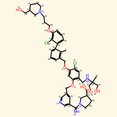 Cc1c(COc2cc(OCc3cncc(C(=N)N4CCCC(CO)C4)c3)c(CNC(C)(CO)CO)cc2Cl)cccc1-c1cccc(OCCCN2CCCC(CO)C2)c1Cl